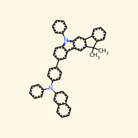 CC1(C)c2ccccc2-c2cc3c(cc21)c1cc(-c2ccc(N(c4ccccc4)c4ccc5ccccc5c4)cc2)ccc1n3-c1ccccc1